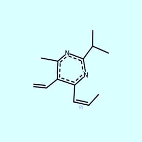 C=Cc1c(C)nc(C(C)C)nc1/C=C\C